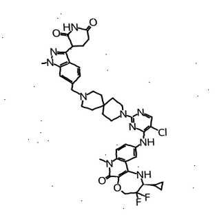 Cn1nc(C2CCC(=O)NC2=O)c2ccc(CN3CCC4(CC3)CCN(c3ncc(Cl)c(Nc5ccc6c(c5)c5c(c(=O)n6C)OCC(F)(F)[C@H](C6CC6)N5)n3)CC4)cc21